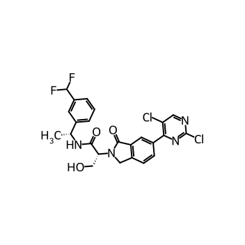 C[C@@H](NC(=O)[C@@H](CO)N1Cc2ccc(-c3nc(Cl)ncc3Cl)cc2C1=O)c1cccc(C(F)F)c1